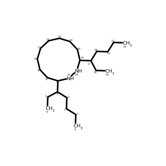 CCCCC(CC)C1CCCCCCCCC(C(CC)CCCC)NN1